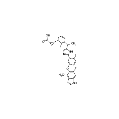 Cc1c(Oc2ccc(F)c(-c3ncc(C(C)c4cccc(C5CC5C(=O)O)c4F)[nH]3)c2)c(F)cc2[nH]ccc12